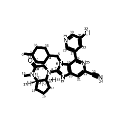 CC1CCC(Cn2c(N3CC(=O)N(C)[C@H]4CCC[C@@H]43)nc3cc(C#N)nc(-c4cncc(Cl)c4)c32)CC1